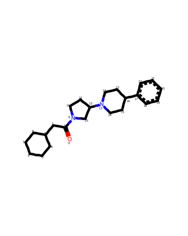 O=C(CC1CCCCC1)N1CCC(N2CCC(c3ccccc3)CC2)C1